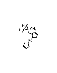 CC(C)(C)CC1=[C]([Ru][C]2=CC=CC2)CC=C1